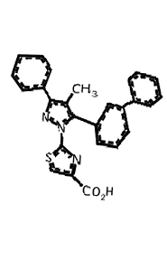 Cc1c(-c2ccccc2)nn(-c2nc(C(=O)O)cs2)c1-c1cccc(-c2ccccc2)c1